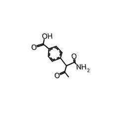 CC(=O)C(C(N)=O)c1ccc(C(=O)O)cc1